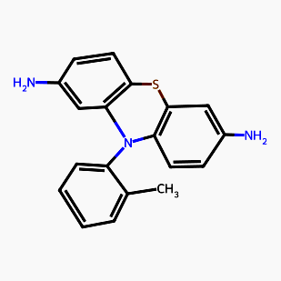 Cc1ccccc1N1c2ccc(N)cc2Sc2ccc(N)cc21